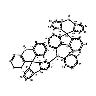 C1=CC2=C(CC1)C1(c3ccccc3S2)c2ccccc2-c2ccc(N(c3ccccc3)c3cccc4c3-c3ccccc3C43c4ccccc4Sc4ccccc43)cc21